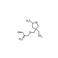 C=C(C=O)COCC1(CC)COC(C)C1